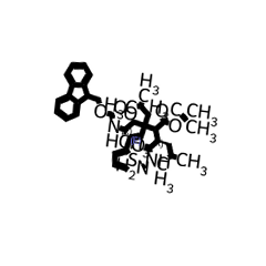 CC(C)C[C@@H](C(=O)NN)C(C(=O)OC(C)(C)C)C(/C=C/c1cccs1)(CC(C)C)C(=O)[C@@H](C)NC(=O)OCC1c2ccccc2-c2ccccc21